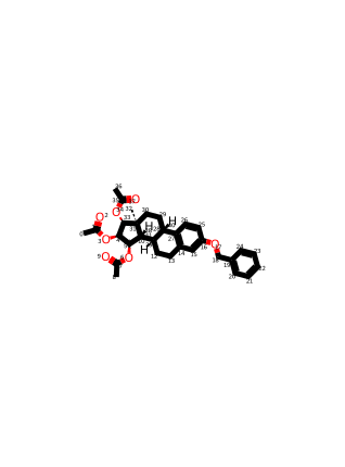 CC(=O)O[C@@H]1[C@H](OC(C)=O)[C@H]2[C@@H]3CCc4cc(OCc5ccccc5)ccc4[C@H]3CC[C@]2(C)[C@H]1OC(C)=O